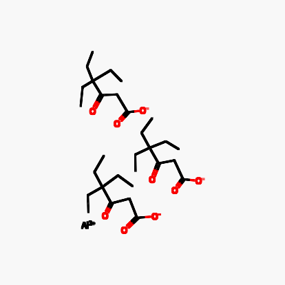 CCC(CC)(CC)C(=O)CC(=O)[O-].CCC(CC)(CC)C(=O)CC(=O)[O-].CCC(CC)(CC)C(=O)CC(=O)[O-].[Al+3]